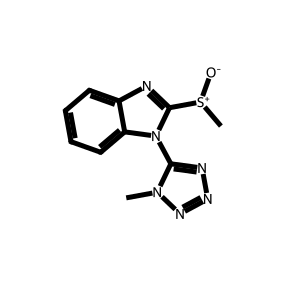 Cn1nnnc1-n1c([S+](C)[O-])nc2ccccc21